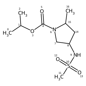 CC(C)OC(=O)N1CC(NS(C)(=O)=O)CC1C